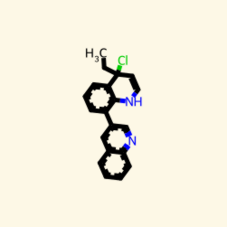 CCC1(Cl)C=CNc2c(-c3cnc4ccccc4c3)cccc21